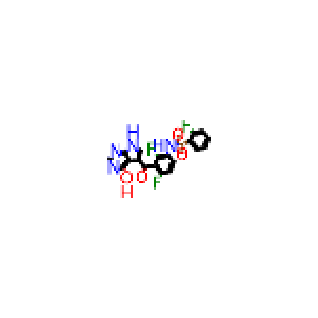 O=C(c1c(F)ccc(NS(=O)(=O)c2ccccc2F)c1F)c1c[nH]c2ncnc(O)c12